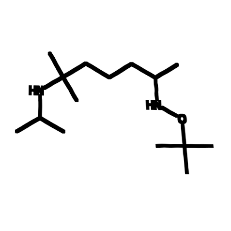 CC(C)NC(C)(C)CCCC(C)NOC(C)(C)C